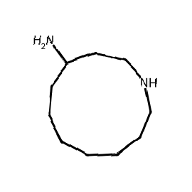 NC1CCCCCCCNCC1